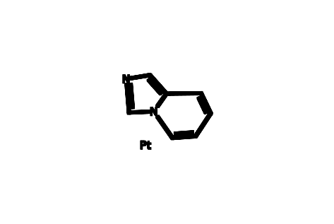 [Pt].c1ccn2cncc2c1